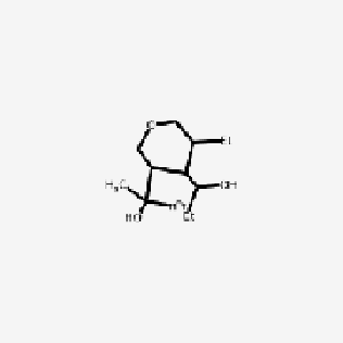 CCCC(C)(O)C1COCC(CC)C1C(O)CC